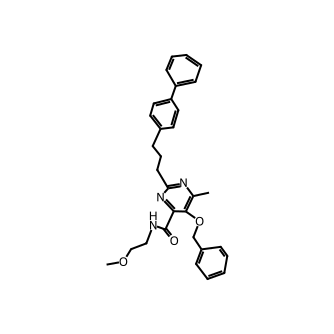 COCCNC(=O)c1nc(CCCc2ccc(-c3ccccc3)cc2)nc(C)c1OCc1ccccc1